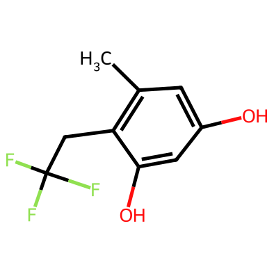 Cc1cc(O)cc(O)c1CC(F)(F)F